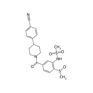 C[S+]([O-])c1ccc(C(=O)N2CCC(c3ccc(C#N)cc3)CC2)cc1NS(C)(=O)=O